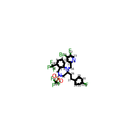 O=S(=O)(N1Cc2c(cccc2C(F)(F)F)N(Cc2cc(Br)c(F)cn2)C(CCc2ccc(F)cc2)C1)C(F)(F)F